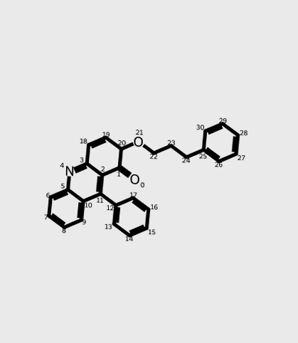 O=C1c2c(nc3ccccc3c2-c2ccccc2)C=CC1OCCCc1ccccc1